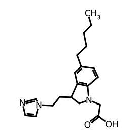 CCCCCc1ccc2c(c1)C(CCn1ccnc1)CN2CC(=O)O